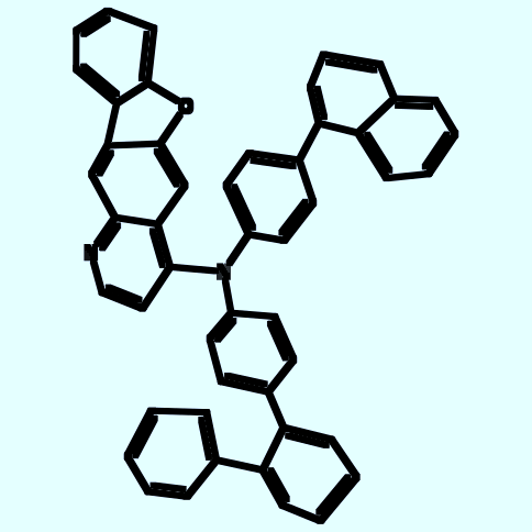 c1ccc(-c2ccccc2-c2ccc(N(c3ccc(-c4cccc5ccccc45)cc3)c3ccnc4cc5c(cc34)oc3ccccc35)cc2)cc1